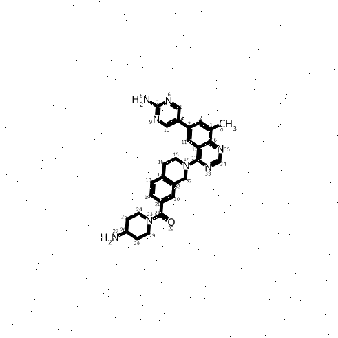 Cc1cc(-c2cnc(N)nc2)cc2c(N3CCc4ccc(C(=O)N5CCC(N)CC5)cc4C3)ncnc12